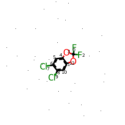 FC1(F)Oc2cc(Cl)c(Cl)cc2O1